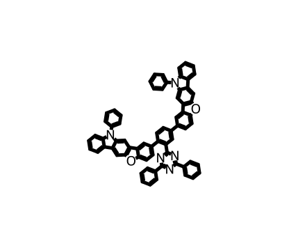 c1ccc(-c2nc(-c3ccccc3)nc(-c3cc(-c4ccc5oc6cc7c8ccccc8n(-c8ccccc8)c7cc6c5c4)ccc3-c3ccc4oc5cc6c7ccccc7n(-c7ccccc7)c6cc5c4c3)n2)cc1